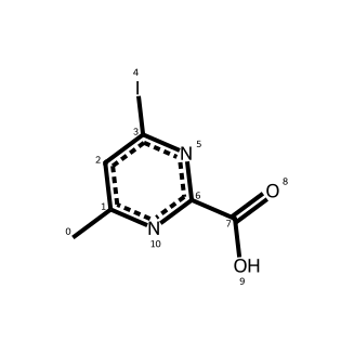 Cc1cc(I)nc(C(=O)O)n1